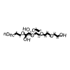 C=CC(=O)O.CCCCCCCCCCCCOC(O)COCCOCCOCCO